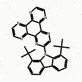 CC(C)(C)c1cccc2c3cccc(C(C)(C)C)c3n(-c3cnc4c5nccnc5c5nccnc5c4n3)c12